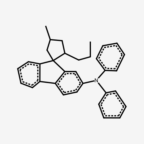 CCCC1CC(C)CC12c1ccccc1-c1ccc(N(c3ccccc3)c3ccccc3)cc12